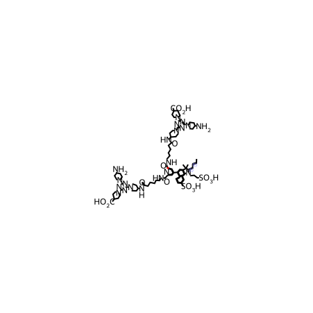 C/C=C/C=C1/N(CCCS(=O)(=O)O)c2c(cc(-c3cc(C(=O)NCCCCCC(=O)NC4CCN(c5nc(N6CCC(N)CC6)nc(N6CCC(C(=O)O)CC6)n5)CC4)nc(C(=O)NCCCCCC(=O)NC4CCN(c5nc(N6CCC(N)CC6)nc(N6CCC(C(=O)O)CC6)n5)CC4)c3)c3ccc(S(=O)(=O)O)cc23)C1(C)C